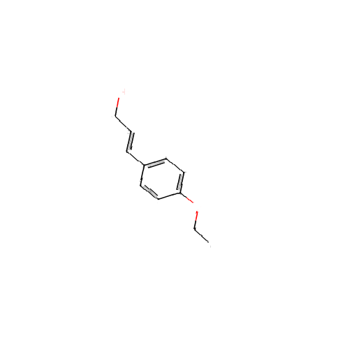 CCOc1ccc(C=CCO)cc1